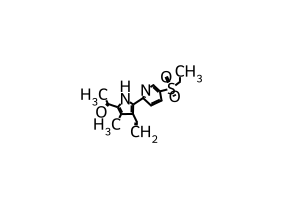 C=Cc1c(-c2ccc(S(=O)(=O)CC)cn2)[nH]c(C(C)=O)c1C